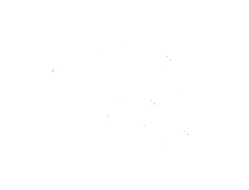 CC(C)Oc1ccc(C#N)c(N2CCNCC2)c1F